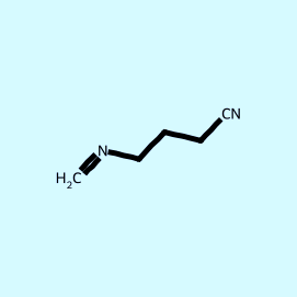 C=NCCCC#N